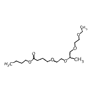 CCCCOC(=O)CCCOCCOC(C)COCCOCC